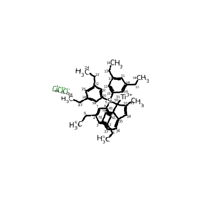 CCc1cc(CC)cc([Si](c2cc(CC)cc(CC)c2)(c2cc(CC)cc(CC)c2)[C]2([Ti+3])C(C)=Cc3ccccc32)c1.[Cl-].[Cl-].[Cl-]